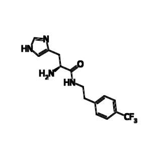 N[C@@H](Cc1c[nH]cn1)C(=O)NCCc1ccc(C(F)(F)F)cc1